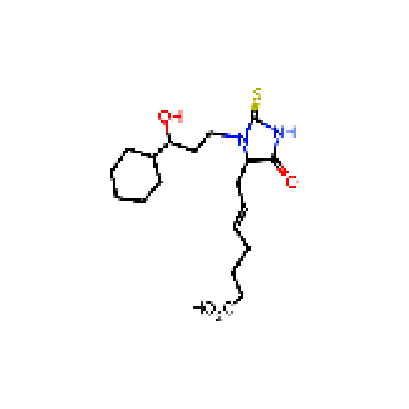 O=C(O)CCCC=CCC1C(=O)NC(=S)N1CCC(O)C1CCCCC1